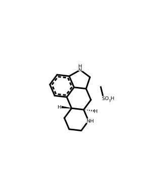 CS(=O)(=O)O.c1cc2c3c(c1)[C@H]1CCCN[C@@H]1CC3CN2